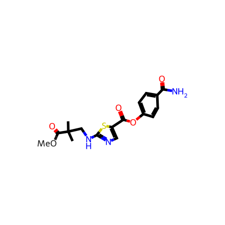 COC(=O)C(C)(C)CNc1ncc(C(=O)Oc2ccc(C(N)=O)cc2)s1